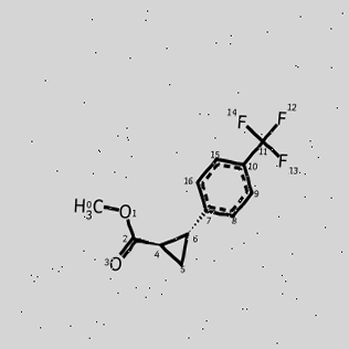 COC(=O)[C@@H]1C[C@H]1c1ccc(C(F)(F)F)cc1